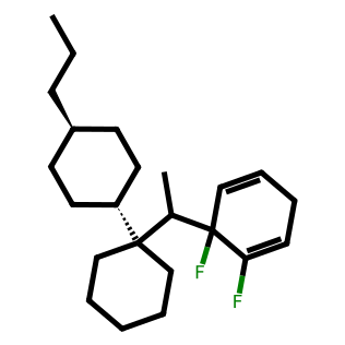 CCC[C@H]1CC[C@H](C2(C(C)C3(F)C=CCC=C3F)CCCCC2)CC1